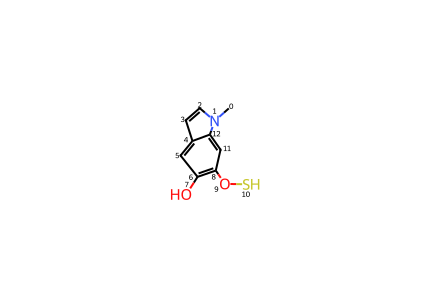 Cn1ccc2cc(O)c(OS)cc21